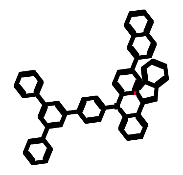 c1ccc(-c2cc(-c3ccccc3)cc(-c3ccc(N(c4ccc(-c5ccc6ccccc6c5)cc4)c4ccccc4-c4cc5ccccc5o4)cc3)c2)cc1